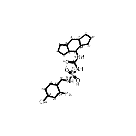 O=C(NC1C2CCCC2CC2CCCC21)NS(=O)(=O)NCC1CCC(Cl)CC1F